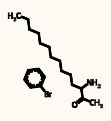 Brc1ccccc1.CCCCCCCCCCCC(N)C(C)=O